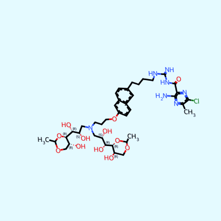 Cc1nc(N)c(C(=O)NC(=N)NCCCCc2ccc3cc(OCCCN(C[C@H](O)[C@@H](O)[C@@H]4OC(C)OC[C@H]4O)C[C@H](O)[C@@H](O)[C@@H]4OC(C)OC[C@H]4O)ccc3c2)nc1Cl